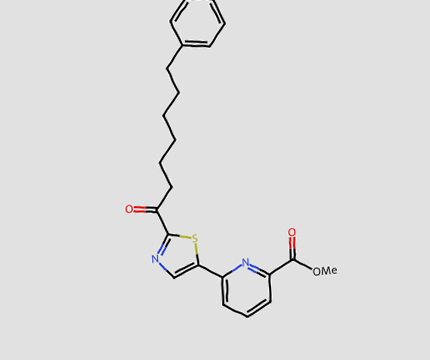 COC(=O)c1cccc(-c2cnc(C(=O)CCCCCCc3ccccc3)s2)n1